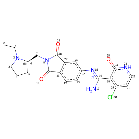 CCN1CCC[C@@H]1CN1C(=O)c2ccc(/N=C(\N)c3c(Cl)cc[nH]c3=O)cc2C1=O